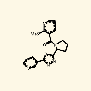 CSc1ncccc1C(=O)N1CCCC1c1nnc(-c2cccnc2)o1